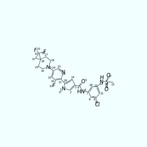 Cn1cc(C(=O)Nc2cc(Cl)cc(NS(C)(=O)=O)c2)cc1-c1ncc(N2CCC3(CC2)CC3(F)F)cc1F